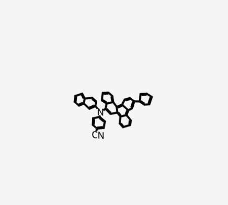 N#Cc1ccc(N(c2ccc3ccccc3c2)c2cc3c4ccccc4c4cc(-c5ccccc5)ccc4c3c3ccccc23)cc1